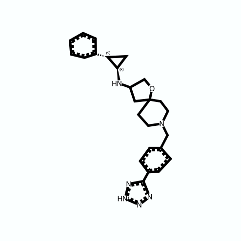 c1ccc([C@@H]2C[C@H]2NC2COC3(CCN(Cc4ccc(-c5nn[nH]n5)cc4)CC3)C2)cc1